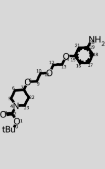 CC(C)(C)OC(=O)N1CCC(OCCOCCOc2cccc(N)c2)CC1